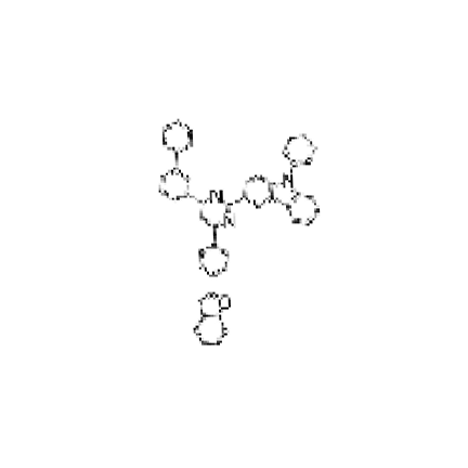 c1ccc(-c2cccc(-c3cc(-c4ccc(-c5cc6ccccc6o5)cc4)nc(-c4ccc5c(c4)c4ccccc4n5-c4ccccc4)n3)c2)cc1